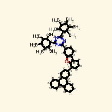 Bc1c(B)c(B)c(-c2nc(-c3ccc4c(c3)oc3c(-c5ccc6c7ccccc7c7ccccc7c6c5)cccc34)nc(-c3c(B)c(B)c(B)c(B)c3B)n2)c(B)c1B